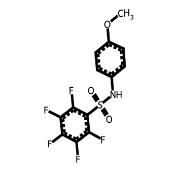 COc1ccc(NS(=O)(=O)c2c(F)c(F)c(F)c(F)c2F)cc1